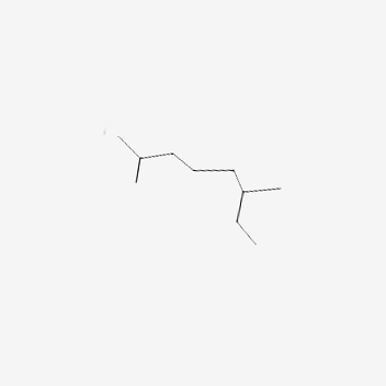 CCC(C)C(C)CCCC(C)CC=O